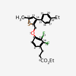 CCOC(=O)CCc1ccc(OCc2sc(C)cc2-c2ccc(CC)cc2)c(F)c1F